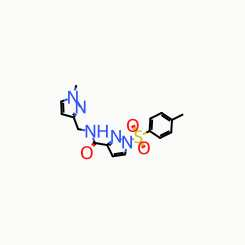 Cc1ccc(S(=O)(=O)n2ccc(C(=O)NCc3ccn(C)n3)n2)cc1